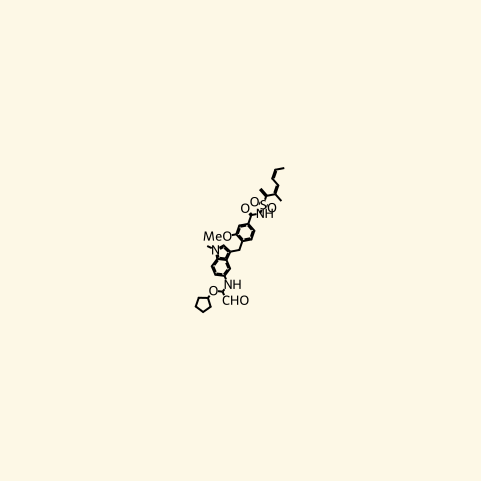 C=C(/C(C)=C\C=C/C)S(=O)(=O)NC(=O)c1ccc(Cc2cn(C)c3ccc(NC(C=O)OC4CCCC4)cc23)c(OC)c1